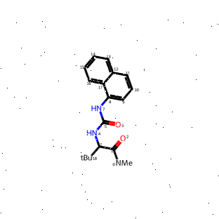 CNC(=O)C(NC(=O)Nc1cccc2ccccc12)C(C)(C)C